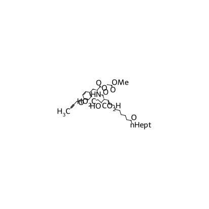 CC#CCOc1ccc(C[C@H](NC(=O)[C@@H](/C=C/CCCCCCC(=O)CCCCCCC)[C@@](O)(CC(=O)O)C(=O)O)C(=O)OCC(=O)OC)cc1